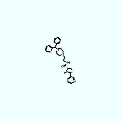 CN1C(c2cccnc2)SC[C@H]1C(=O)NCCN1CCN(C(c2ccccc2)c2ccccn2)CC1